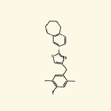 Cc1cc(Cc2csc(-c3ccc4c(c3)CCCCC4)n2)c(C)cc1I